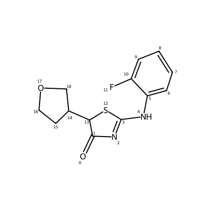 O=C1N=C(Nc2ccccc2F)SC1C1CCOC1